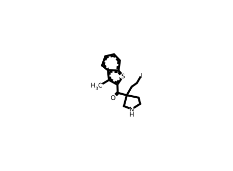 Cc1c(C(=O)C2(CCI)CCNC2)sc2ccccc12